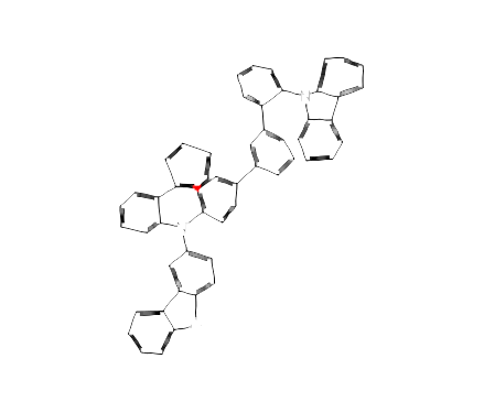 c1ccc(-c2ccccc2N(c2ccc(-c3cccc(-c4ccccc4-n4c5ccccc5c5ccccc54)c3)cc2)c2ccc3oc4ccccc4c3c2)cc1